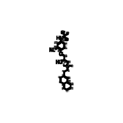 C[N+](C)(CCc1ccc2ccccc2c1)CC(O)COc1ccc(NS(C)(=O)=O)cc1C#N